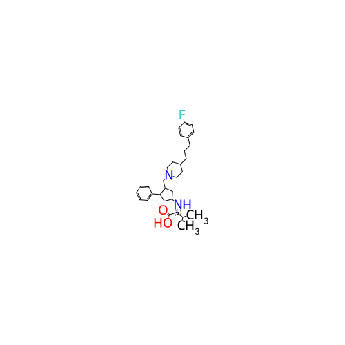 CC(C)[C@H](NC1CC(CN2CCC(CCCc3ccc(F)cc3)CC2)C(c2ccccc2)C1)C(=O)O